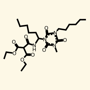 CCCCCCn1c(=O)n(C)c(=O)n(C(CCCCC)NC(=O)C(C(=O)OCC)C(=O)OCC)c1=O